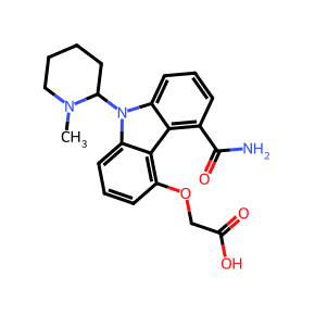 CN1CCCCC1n1c2cccc(OCC(=O)O)c2c2c(C(N)=O)cccc21